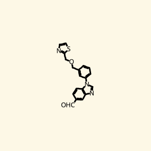 O=Cc1ccc2c(c1)ncn2-c1cccc(COCc2nccs2)c1